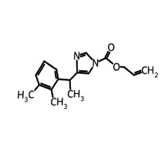 C=CCOC(=O)n1cnc(C(C)c2cccc(C)c2C)c1